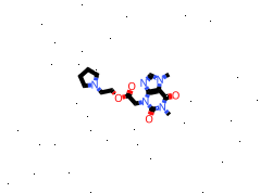 Cn1c(=O)c2c(ncn2C)n(CC(=O)OCCN2CCCC2)c1=O